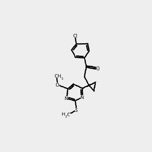 COc1cc(C2(CC(=O)c3ccc(Cl)cc3)CC2)nc(SC)n1